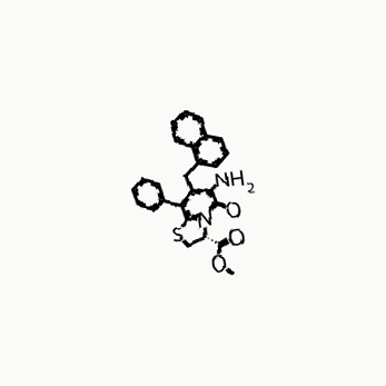 COC(=O)[C@@H]1CSc2c(-c3ccccc3)c(Cc3cccc4ccccc34)c(N)c(=O)n21